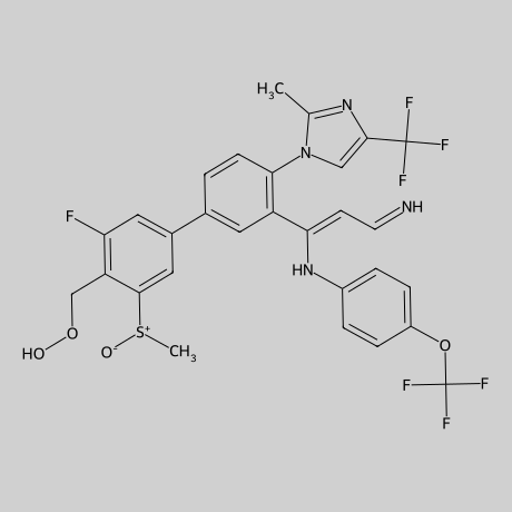 Cc1nc(C(F)(F)F)cn1-c1ccc(-c2cc(F)c(COO)c([S+](C)[O-])c2)cc1/C(=C/C=N)Nc1ccc(OC(F)(F)F)cc1